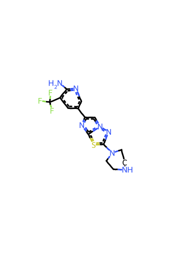 Nc1ncc(-c2cn3nc(N4CCNCC4)sc3n2)cc1C(F)(F)F